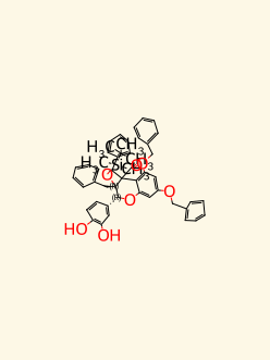 CC(C)(C)[Si](C)(C)O[C@@]1(Cc2ccccc2)[C@@H](c2ccc(O)c(O)c2)Oc2cc(OCc3ccccc3)cc(OCc3ccccc3)c2C1(C=O)Cc1ccccc1